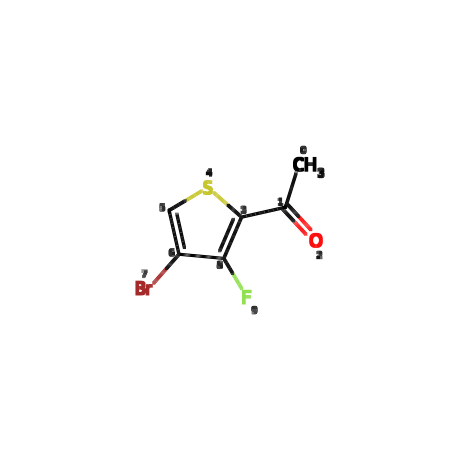 CC(=O)c1scc(Br)c1F